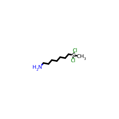 C[Si](Cl)(Cl)CCCCCCCN